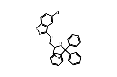 OCC(COc1noc2ccc(Cl)cc12)NC(c1ccccc1)(c1ccccc1)c1ccccc1